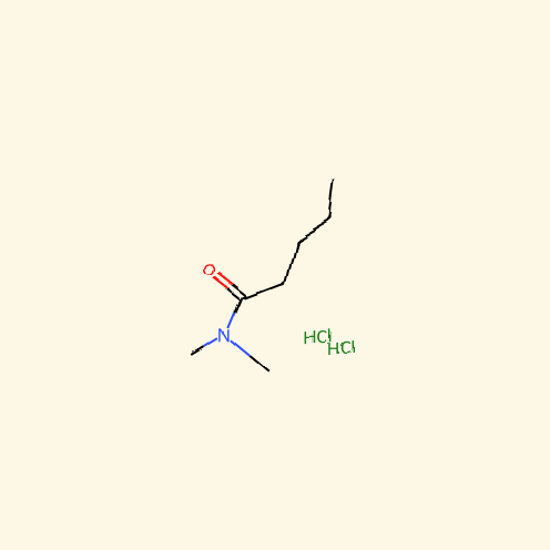 CCCCC(=O)N(C)C.Cl.Cl